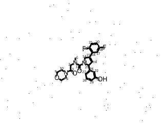 CN(CC(=O)N1CCOCC1)C(=O)N1CC(c2cc(F)ccc2F)=CC1c1cccc(O)c1